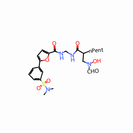 CCCCCC(CN(O)C=O)C(=O)NCNC(=O)c1ccc(-c2cccc(S(=O)(=O)N(C)C)c2)o1